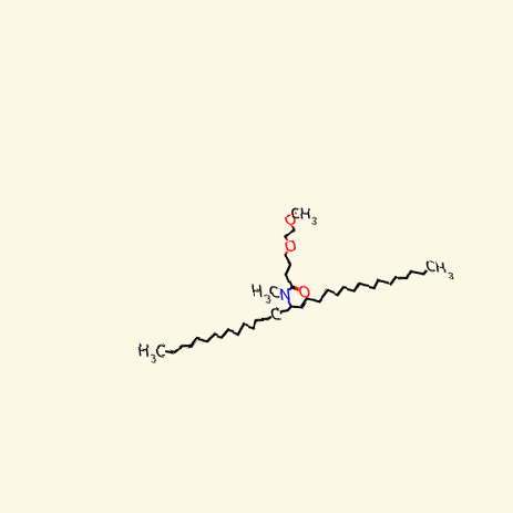 CCCCCCCCCCCCCCCCC(CCCCCCCCCCCCCCCC)N(C)C(=O)CCCOCCOC